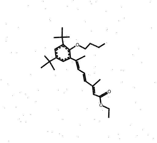 CCCCOc1c(/C(C)=C/C=C/C(C)=C/C(=O)OCC)cc(C(C)(C)C)cc1C(C)(C)C